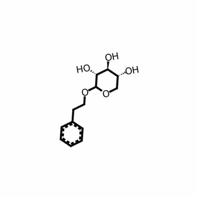 O[C@H]1[C@H](O)COC(OCCc2ccccc2)[C@@H]1O